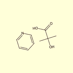 CC(C)(O)C(=O)O.c1ccncc1